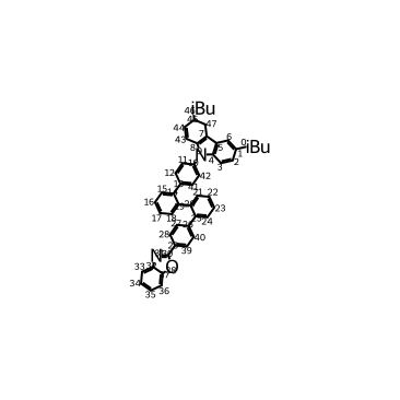 CCC(C)c1ccc2c(c1)c1c(n2-c2ccc(-c3ccccc3-c3ccccc3-c3ccc(-c4nc5ccccc5o4)cc3)cc2)C=CC(C(C)CC)C1